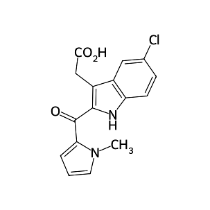 Cn1cccc1C(=O)c1[nH]c2ccc(Cl)cc2c1CC(=O)O